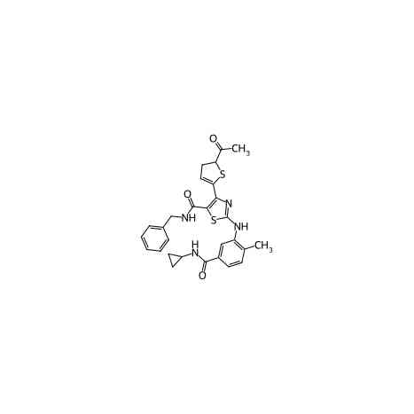 CC(=O)C1CC=C(c2nc(Nc3cc(C(=O)NC4CC4)ccc3C)sc2C(=O)NCc2ccccc2)S1